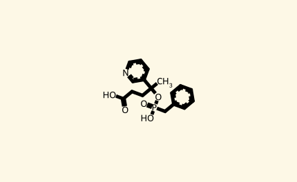 CC(CCC(=O)O)(OP(=O)(O)Cc1ccccc1)c1cccnc1